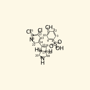 Cc1ccc(S(=O)(=O)O)cc1.Clc1cc(C2=C[C@H]3CNC[C@@H]23)cnc1Cl